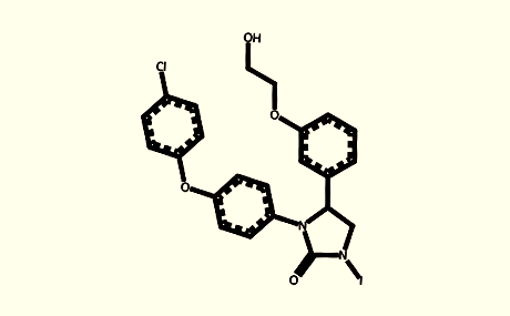 O=C1N(I)CC(c2cccc(OCCO)c2)N1c1ccc(Oc2ccc(Cl)cc2)cc1